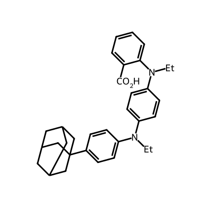 CCN(c1ccc(N(CC)c2ccccc2C(=O)O)cc1)c1ccc(C23CC4CC(CC(C4)C2)C3)cc1